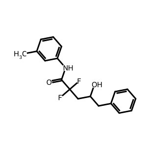 Cc1cccc(NC(=O)C(F)(F)CC(O)Cc2ccccc2)c1